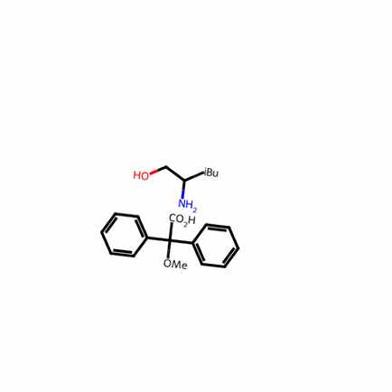 CCC(C)C(N)CO.COC(C(=O)O)(c1ccccc1)c1ccccc1